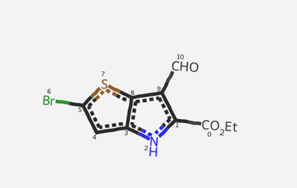 CCOC(=O)c1[nH]c2cc(Br)sc2c1C=O